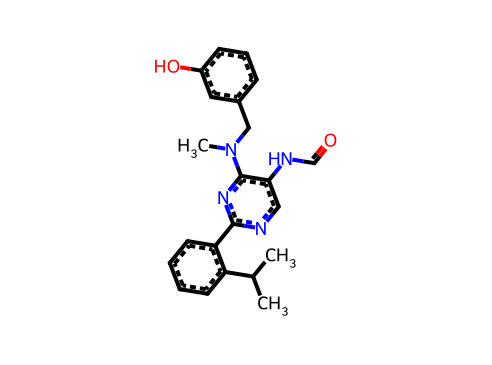 CC(C)c1ccccc1-c1ncc(NC=O)c(N(C)Cc2cccc(O)c2)n1